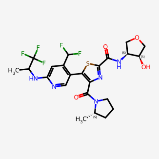 CC(Nc1cc(C(F)F)c(-c2sc(C(=O)N[C@H]3COC[C@H]3O)nc2C(=O)N2CCC[C@@H]2C)cn1)C(F)(F)F